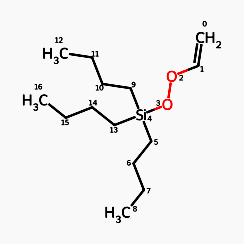 C=COO[Si](CCCC)(CCCC)CCCC